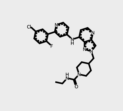 CCNC(=O)N1CCC(Cn2cc3nccc(Nc4ccnc(-c5cc(Cl)ccc5F)c4)c3n2)CC1